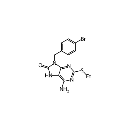 CCSc1nc(N)c2[nH]c(=O)n(Cc3ccc(Br)cc3)c2n1